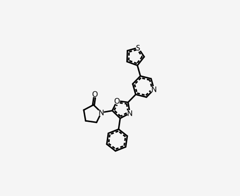 O=C1CCCN1c1oc(-c2cncc(-c3ccsc3)c2)nc1-c1ccccc1